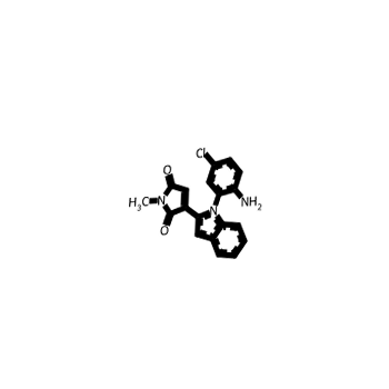 CN1C(=O)C=C(c2cc3ccccc3n2-c2cc(Cl)ccc2N)C1=O